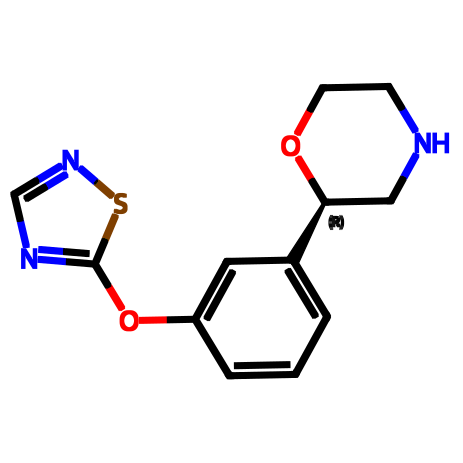 c1cc(Oc2ncns2)cc([C@@H]2CNCCO2)c1